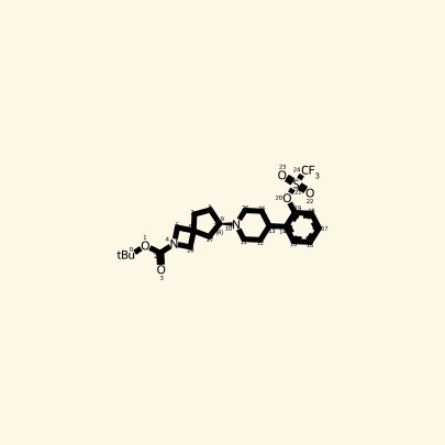 CC(C)(C)OC(=O)N1CC2(CC[C@@H](N3CCC(c4ccccc4OS(=O)(=O)C(F)(F)F)CC3)C2)C1